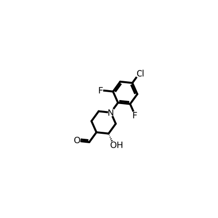 O=CC1CCN(c2c(F)cc(Cl)cc2F)C[C@@H]1O